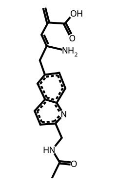 C=C(/C=C(\N)Cc1ccc2nc(CNC(C)=O)ccc2c1)C(=O)O